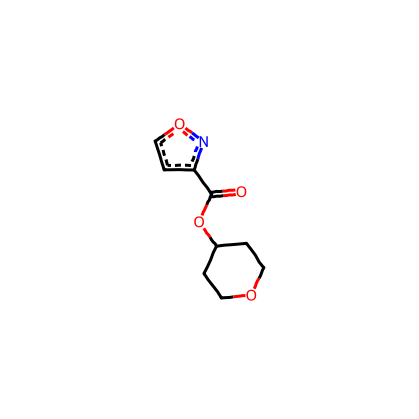 O=C(OC1CCOCC1)c1ccon1